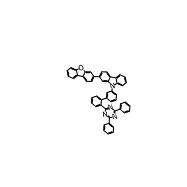 c1ccc(-c2nc(-c3ccccc3)nc(-c3ccccc3-c3cccc(-n4c5ccccc5c5ccc(-c6ccc7c(c6)oc6ccccc67)cc54)c3)n2)cc1